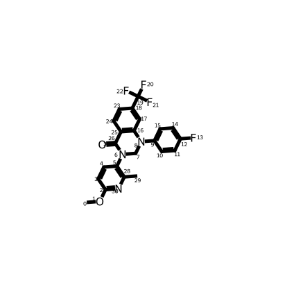 COc1ccc(N2CN(c3ccc(F)cc3)c3cc(C(F)(F)F)ccc3C2=O)c(C)n1